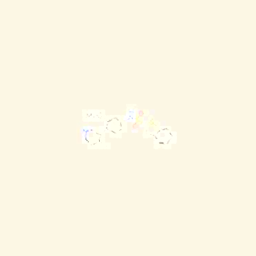 COc1cc(NS(=O)(=O)C2Cc3ccccc3S2)ccc1-c1cnccc1C